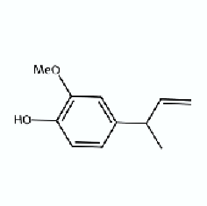 C=CC(C)c1ccc(O)c(OC)c1